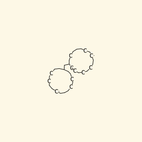 [CH]1CCCCCCCCC(CC2CCCCCCC[CH]CCCCCCCC2)CCCCCCC1